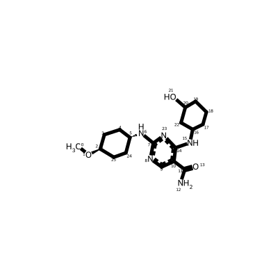 CO[C@H]1CC[C@H](Nc2ncc(C(N)=O)c(NC3CCCC(O)C3)n2)CC1